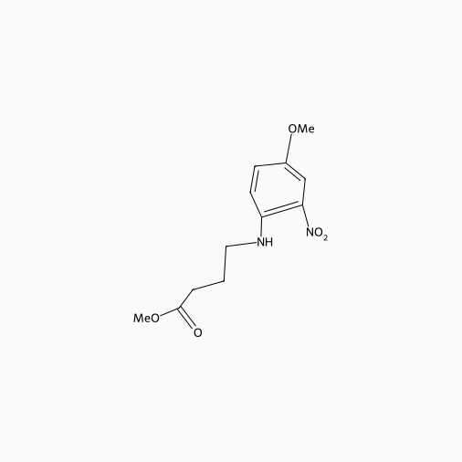 COC(=O)CCCNc1ccc(OC)cc1[N+](=O)[O-]